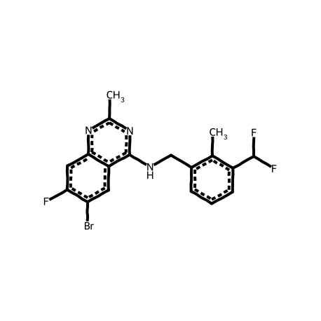 Cc1nc(NCc2cccc(C(F)F)c2C)c2cc(Br)c(F)cc2n1